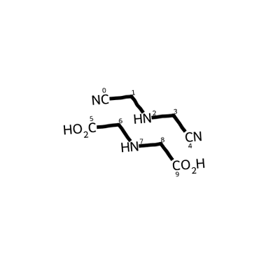 N#CCNCC#N.O=C(O)CNCC(=O)O